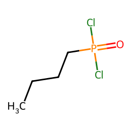 CCCCP(=O)(Cl)Cl